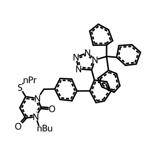 CCCCn1c(=O)cc(SCCC)n(Cc2ccc(-c3ccccc3-c3nnnn3C(c3ccccc3)(c3ccccc3)c3ccccc3)cc2)c1=O